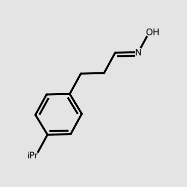 CC(C)c1ccc(CCC=NO)cc1